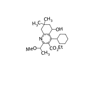 CCOC(=O)c1c(C(C)OC)nc2c(c1C1CCCCC1)C(O)CC(C)(C)C2